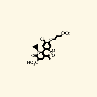 CCOCCCOc1cc2c(cc1Cl)-c1c(cc(C(=O)O)c(=O)n1C1CC1)C(C)S2(=O)=O